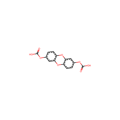 O=C(O)Oc1ccc2c(c1)Oc1ccc(OC(=O)O)cc1O2